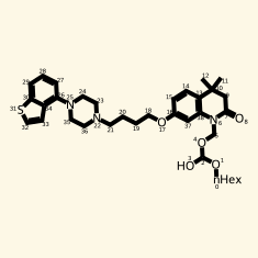 CCCCCCOC(O)OCN1C(=O)CC(C)(C)c2ccc(OCCCCN3CCN(c4cccc5sccc45)CC3)cc21